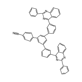 N#Cc1ccc(-c2cc(-c3cccc(-c4nc(-c5ccccc5)nc5ccccc45)c3)cc(-c3cccc(-c4nc(-c5ccccc5)nc5ccccc45)c3)c2)cc1